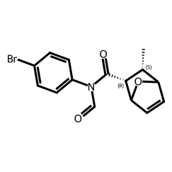 C[C@@H]1C2C=CC(O2)[C@@H]1C(=O)N(C=O)c1ccc(Br)cc1